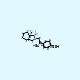 N[C@]12CCCCC1CN(C[C@H](O)c1ccc(O)cc1)C2